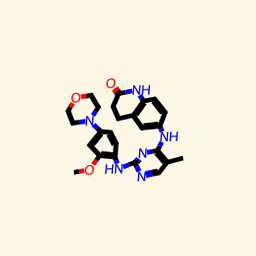 COc1cc(N2CCOCC2)ccc1Nc1ncc(C)c(Nc2ccc3c(c2)CCC(=O)N3)n1